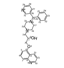 OC(COc1cccc2ncccc12)CN1CCN(C(c2ccccc2)c2cccnc2)CC1